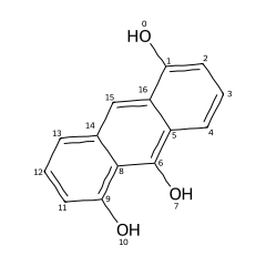 Oc1cccc2c(O)c3c(O)cccc3cc12